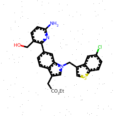 CCOC(=O)Cc1cn(Cc2csc3ccc(Cl)cc23)c2cc(-c3nc(N)ccc3CO)ccc12